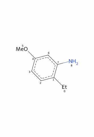 CCc1ccc(OC)cc1N